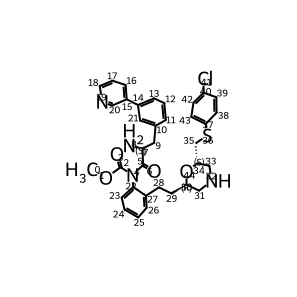 COC(=O)N(C(=O)[C@@H](N)Cc1cccc(-c2cccnc2)c1)c1ccccc1CC[C@@H]1CNC[C@@H](CSc2ccc(Cl)cc2)O1